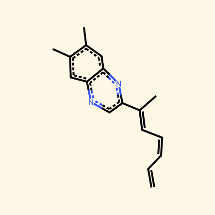 C=C/C=C\C=C(/C)c1cnc2cc(C)c(C)cc2n1